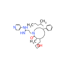 CCCC(C)C[C@]1(c2ccccc2)CCCC(CC2(O)CCC2)C(C)C(=O)N(CCC(=N)Nc2ccncc2)CCC1